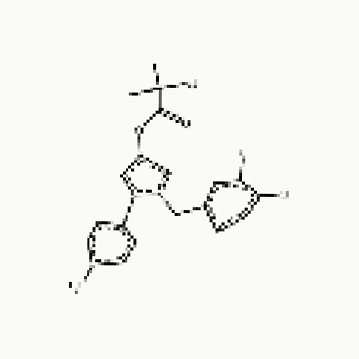 CCC(C)(C)C(=O)Oc1cc(-c2ccc(C(F)(F)F)cc2)n(Cc2ccc(Cl)c(Cl)c2)n1